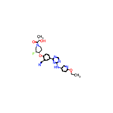 CCOc1ccc(Nc2ncnc(-c3ccc(O[C@H]4CCN(C(=O)[C@H](C)O)C[C@H]4F)c(C#N)c3)n2)cn1